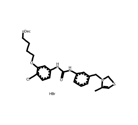 Br.CCCCCCCCCCCCCCOc1cc(NC(=O)Nc2cccc(CN3CSC=C3C)c2)ccc1Cl